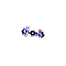 [O-][n+]1cccnc1NCc1ccc(CNc2nccc[n+]2[O-])cc1